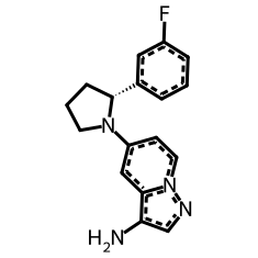 Nc1cnn2ccc(N3CCC[C@@H]3c3cccc(F)c3)cc12